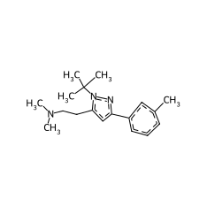 Cc1cccc(-c2cc(CCN(C)C)n(C(C)(C)C)n2)c1